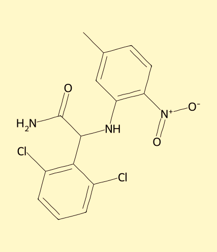 Cc1ccc([N+](=O)[O-])c(NC(C(N)=O)c2c(Cl)cccc2Cl)c1